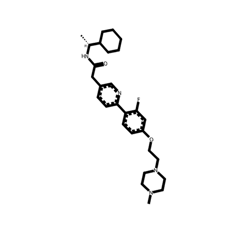 C[C@@H](NC(=O)Cc1ccc(-c2ccc(OCCN3CCN(C)CC3)cc2F)nc1)C1CCCCC1